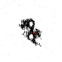 CC[C@]12C[C@@H]1CCCCCc1nc3cc(CC(C)(C)[C@@H]4NC(=O)O[C@]5(CC)C[C@H]5CCCCCc5nc6ccc(OC)cc6nc5O[C@H]5CN(C4=O)[C@H](C(=O)N[C@]4(C(=O)NS(=O)(=O)C6(C)CC6)C[C@H]4C(F)F)[C@@H]5C)c(OC)cc3nc1O[C@H]1CN(C(=O)[C@H](C(C)(C)C)NC(=O)O2)[C@H](C(=O)N[C@]2(C(=O)NS(=O)(=O)C3(C)CC3)C[C@H]2C(F)F)[C@@H]1C